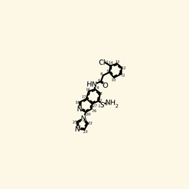 NSc1cc(NC(=O)Cc2ccccc2Cl)cc2cnc(-n3ccnc3)cc12